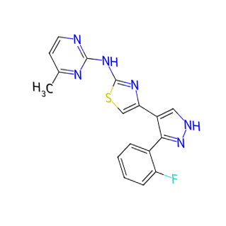 Cc1ccnc(Nc2nc(-c3c[nH]nc3-c3ccccc3F)cs2)n1